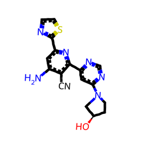 N#Cc1c(N)cc(-c2nccs2)nc1-c1cc(N2CC[C@@H](O)C2)ncn1